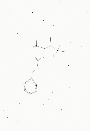 C[C@H]([C@H](NC(=O)OCc1ccccc1)C(=O)O)C(F)(F)F